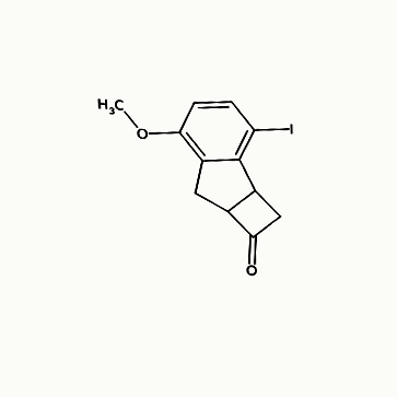 COc1ccc(I)c2c1CC1C(=O)CC21